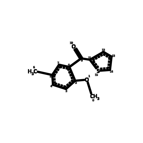 COc1ccc(C)cc1C(=O)c1cccs1